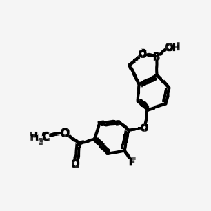 COC(=O)c1ccc(Oc2ccc3c(c2)COB3O)c(F)c1